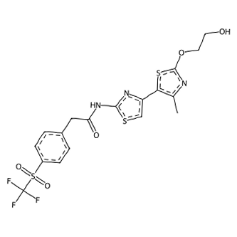 Cc1nc(OCCO)sc1-c1csc(NC(=O)Cc2ccc(S(=O)(=O)C(F)(F)F)cc2)n1